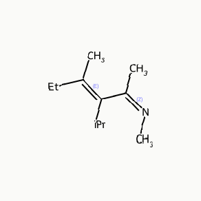 CC/C(C)=C(/C(C)=N\C)C(C)C